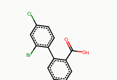 O=C(O)c1ccccc1-c1ccc(Cl)cc1Br